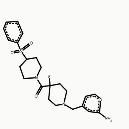 Nc1cc(CN2CCC(F)(C(=O)N3CCC(S(=O)(=O)c4ccccc4)CC3)CC2)ccn1